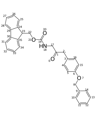 O=C([CH]c1ccc(OCc2ccccc2)cc1)CNC(=O)OCC1c2ccccc2-c2ccccc21